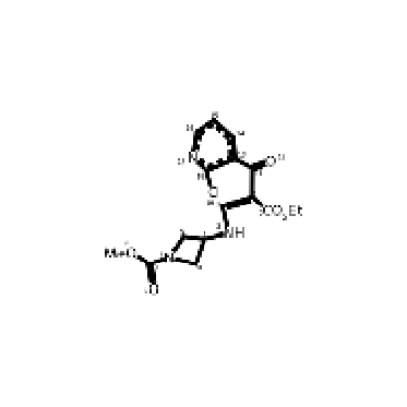 CCOC(=O)C(=CNC1CN(C(=O)OC)C1)C(=O)c1cccnc1Cl